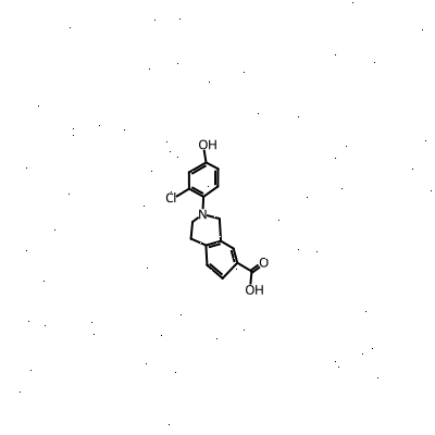 O=C(O)c1ccc2c(c1)CN(c1ccc(O)cc1Cl)CC2